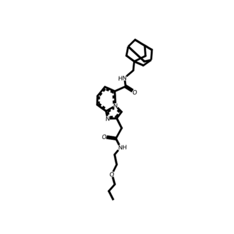 CCCOCCNC(=O)Cc1cn2c(C(=O)NCC34CC5CC(CC(C5)C3)C4)cccc2n1